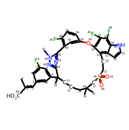 C/C(=C\c1cc(F)cc(C2(C)CCCC(C)(C)CS(=O)(=O)CCc3c(c(F)c(F)c4[nH]ccc34)Oc3ccc(F)c(c3)-c3nc2nn3C)c1)C(=O)O